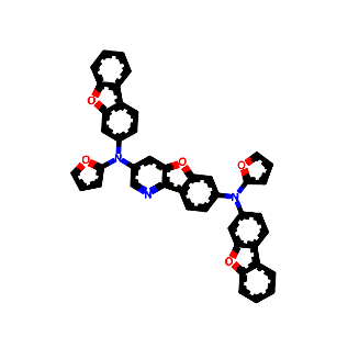 c1coc(N(c2ccc3c(c2)oc2ccccc23)c2ccc3c(c2)oc2cc(N(c4ccc5c(c4)oc4ccccc45)c4ccco4)cnc23)c1